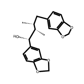 C[C@@H]([C@H](C)Cc1ccc2c(c1)OCO2)[C@@H](O)c1ccc2c(c1)OCO2